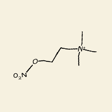 C[N+](C)(C)CCO[N+](=O)[O-]